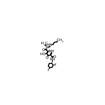 CCCCNCN(CC)C(=O)c1[nH]cc(C(=O)NC[C@@H]2CCC(F)C[C@@H]2F)c(=O)c1O